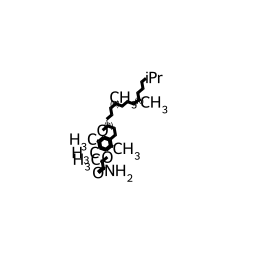 Cc1c(C)c2c(c(C)c1OC(C)C(N)=O)CC[C@@H](CCC[C@H](C)CCC[C@H](C)CCCC(C)C)O2